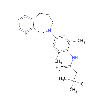 C=C(CC(C)(C)C)Nc1c(C)cc(N2CCCc3cccnc3C2)cc1C